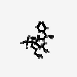 CCCC[C@](C)(C(=O)N[C@@H](COC)[C@@H](O)c1ccccc1)C(F)(F)F